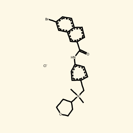 C[N+](C)(Cc1ccc(NC(=O)c2ccc3ccc(Br)cc3c2)cc1)C1CCOCC1.[Cl-]